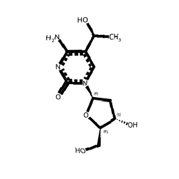 CC(O)c1cn([C@H]2C[C@H](O)[C@@H](CO)O2)c(=O)nc1N